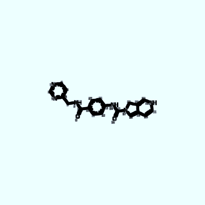 O=C(NCc1ccncn1)c1ccc(NC(=O)N2C=C3C=CNC=C3C2)cc1